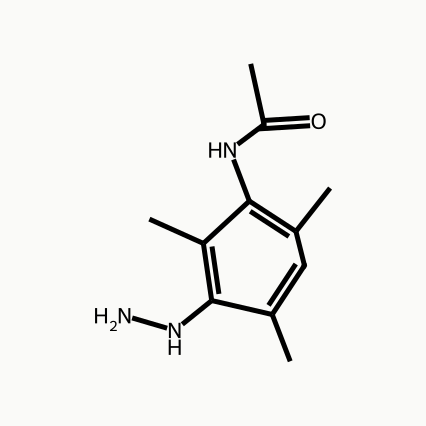 CC(=O)Nc1c(C)cc(C)c(NN)c1C